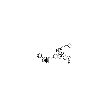 O=S(=O)(c1ccc2c(c1)CCN2)N(c1ccc(CCNCC(O)c2cccnc2)cc1)c1ncc(CCCC2CCCC2)o1